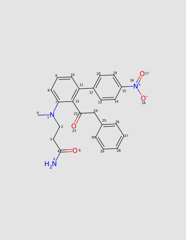 CN(CCC(N)=O)c1cccc(-c2ccc([N+](=O)[O-])cc2)c1C(=O)Cc1ccccc1